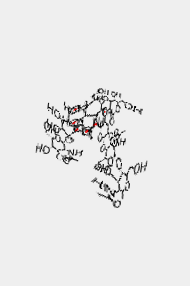 CC(=O)NC1C(O)[C@H](O)[C@H](CO)O[C@H]1OC1[C@@H](OCC2O[C@@H](O[C@@H]3C(CO)O[C@@H](O[C@@H]4C(CO)OC(C)C(NC(C)=O)[C@H]4O)C(NC(C)=O)[C@H]3O)C(O)[C@@H](O[C@H]3O[C@H](CO)[C@@H](O)C(O)C3O[C@@H]3OC(CO)[C@@H](O)[C@H](O)C3NC(C)=O)[C@@H]2O)OC(CO)[C@@H](O)[C@@H]1O